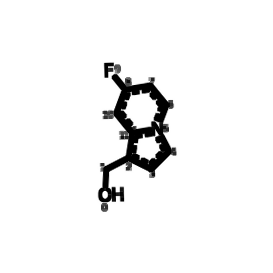 OCc1ccn2ccc(F)cc12